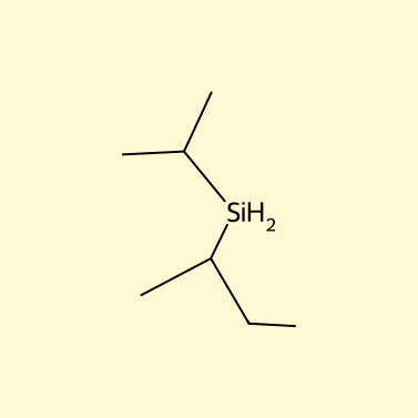 CCC(C)[SiH2]C(C)C